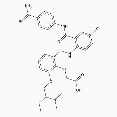 CCC(COc1cccc(CNc2ccc(Cl)cc2C(=O)Nc2ccc(C(=N)N)cc2)c1OCC(=O)O)N(C)C